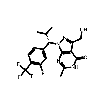 Cc1nc2c(c(CO)nn2[C@H](c2ccc(C(F)(F)F)c(F)c2)C(C)C)c(=O)[nH]1